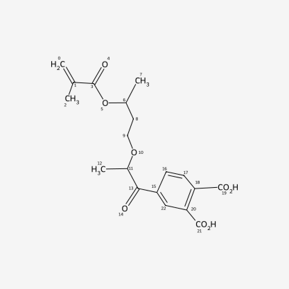 C=C(C)C(=O)OC(C)CCOC(C)C(=O)c1ccc(C(=O)O)c(C(=O)O)c1